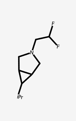 CC(C)C1C2CN(CC(F)F)CC21